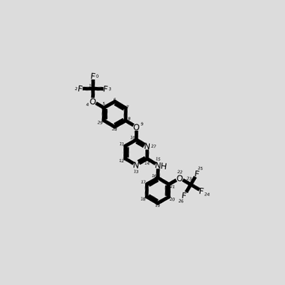 FC(F)(F)Oc1ccc(Oc2ccnc(Nc3ccccc3OC(F)(F)F)n2)cc1